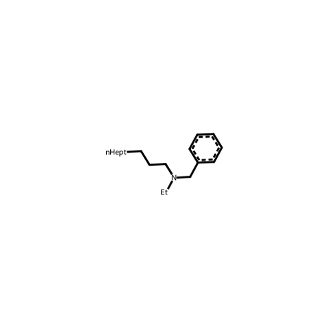 CCCCCCCCCCN(CC)Cc1ccccc1